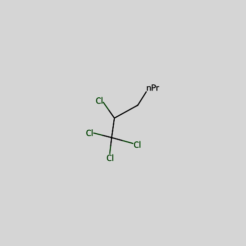 CCCCC(Cl)C(Cl)(Cl)Cl